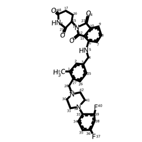 Cc1cc(CNc2cccc3c2C(=O)N(C2CCC(=O)NC2=O)C3=O)ccc1CN1CCN(c2ccc(F)cc2F)CC1